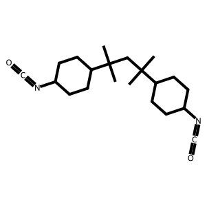 CC(C)(CC(C)(C)C1CCC(N=C=O)CC1)C1CCC(N=C=O)CC1